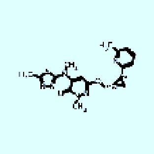 Cc1cccc([C@H]2C[C@@H]2COc2cc(N(C)c3nnc(C)s3)c(=O)n(C)n2)n1